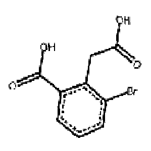 O=C(O)Cc1c(Br)cccc1C(=O)O